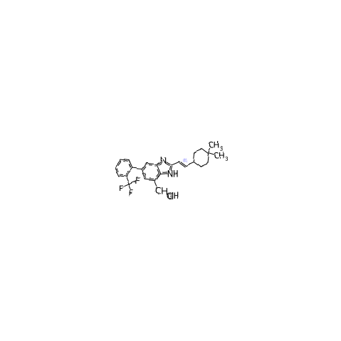 Cc1cc(-c2ccccc2C(F)(F)F)cc2nc(/C=C/C3CCC(C)(C)CC3)[nH]c12.Cl